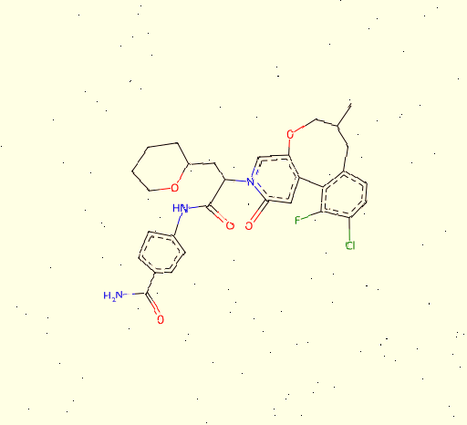 CC1COc2cn(C(CC3CCCCO3)C(=O)Nc3ccc(C(N)=O)cc3)c(=O)cc2-c2c(ccc(Cl)c2F)C1